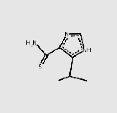 CC(C)c1[nH]cnc1C(N)=S